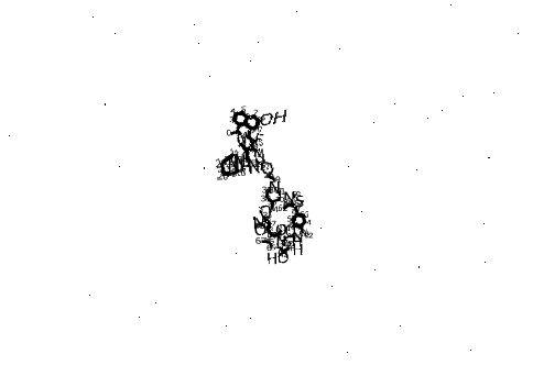 CCc1cccc2cc(O)cc(-c3ncc4c(N5CC6CCC(C5)N6)nc(OCCN5CCC(COc6cc([C@H](C(=O)N7C[C@H](O)C[SH]7C(=O)N[C@@H](C)c7ccc(-c8scnc8C)cc7)C(C)C)on6)CC5)nc4c3F)c12